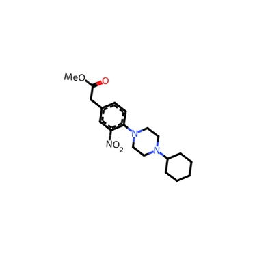 COC(=O)Cc1ccc(N2CCN(C3CCCCC3)CC2)c([N+](=O)[O-])c1